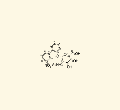 CC(=O)N[C@H]1[C@H](Oc2ccccc2-c2cccc([N+](=O)[O-])c2)O[C@H](CO)[C@H](O)[C@@H]1O